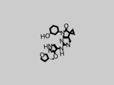 O=C1N([C@@H]2CCC[C@@H](O)C2)c2nc(Nc3c[nH]nc3OC[C@@H]3CCOC3)ncc2C12CC2